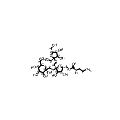 CCCNC(=O)OC[C@H]1O[C@@](CO[C@]2(CO)O[C@H](CO)[C@H](O)C2O)(OC[C@@]2(O)OC(CO)[C@@H](O)[C@H](O)C2O)C(O)[C@H]1O